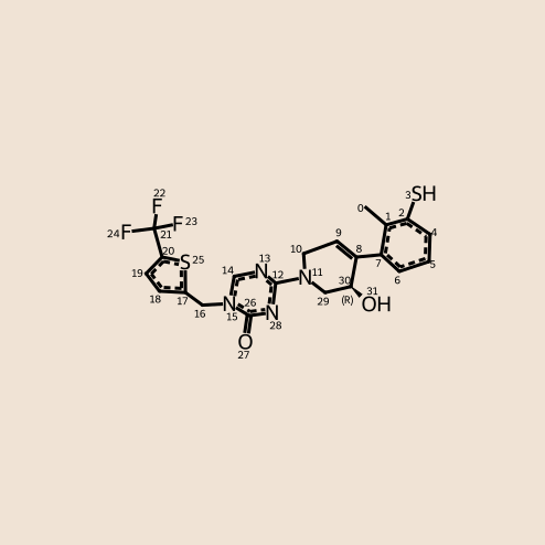 Cc1c(S)cccc1C1=CCN(c2ncn(Cc3ccc(C(F)(F)F)s3)c(=O)n2)C[C@@H]1O